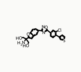 NC(CO)(CO)c1cc2cc(-c3noc(-c4ccc(-c5ccsc5)c(Cl)c4)n3)ccc2o1